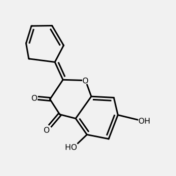 O=C1C(=O)c2c(O)cc(O)cc2OC1=C1C=CC=CC1